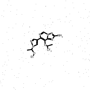 CCOC(C)n1cc(-c2ncn3nc(N)nc3c2OC(C)C(F)(F)F)cn1